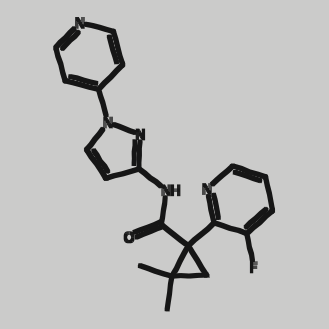 CC1(C)CC1(C(=O)Nc1ccn(-c2ccncc2)n1)c1ncccc1F